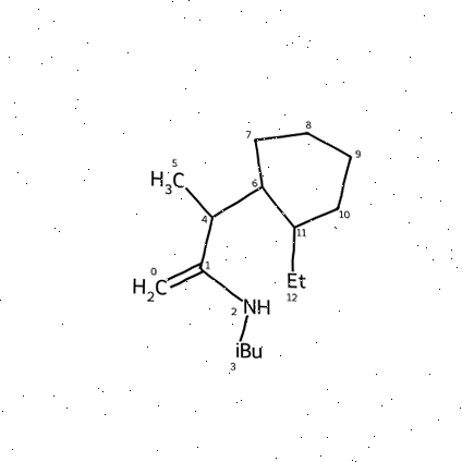 C=C(NC(C)CC)C(C)C1CCCCC1CC